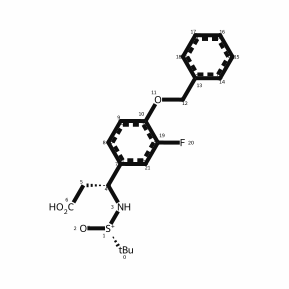 CC(C)(C)[S@+]([O-])N[C@H](CC(=O)O)c1ccc(OCc2ccccc2)c(F)c1